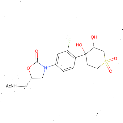 CC(=O)NC[C@H]1CN(c2ccc(C3(O)CCS(=O)(=O)CC3O)c(F)c2)C(=O)O1